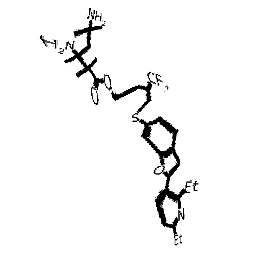 CCc1ccc(-c2cc3ccc(SCC(COC(=O)C(C)(C)C(C)(N)CC(C)(C)N)C(F)(F)F)cc3o2)c(CC)n1